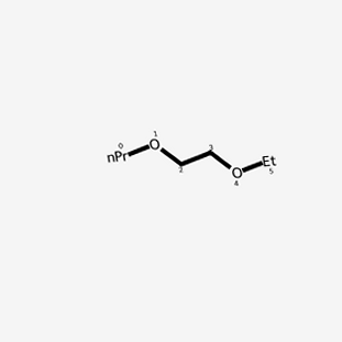 CCCOCCOCC